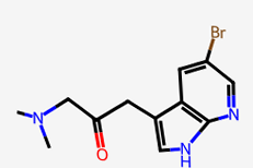 CN(C)CC(=O)Cc1c[nH]c2ncc(Br)cc12